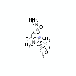 C=Nc1cc([C@H](C)N2C(=O)CCC2=O)sc1/C(=C\C)c1cc(Cl)cc2c1O[C@@H](C(=O)N1CCNCC1)C2